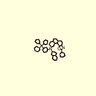 c1ccc(-c2nc3ccc4ccc5ccc(N(c6cccc(C(c7ccccc7)(c7ccccc7)c7ccccc7)c6)c6ccc7ccccc7c6)cc5c4c3o2)cc1